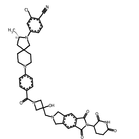 C[C@H]1CC2(CCN(c3ccc(C(=O)N4CC(O)(CN5Cc6cc7c(cc6C5)C(=O)N(C5CCC(=O)NC5=O)C7=O)C4)cc3)CC2)CN1c1ccc(C#N)c(Cl)c1